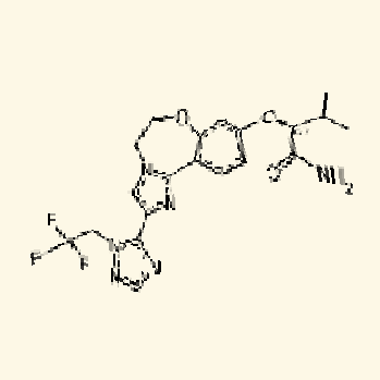 CC(C)[C@H](Oc1ccc2c(c1)OCCn1cc(-c3ncnn3CC(F)(F)F)nc1-2)C(N)=O